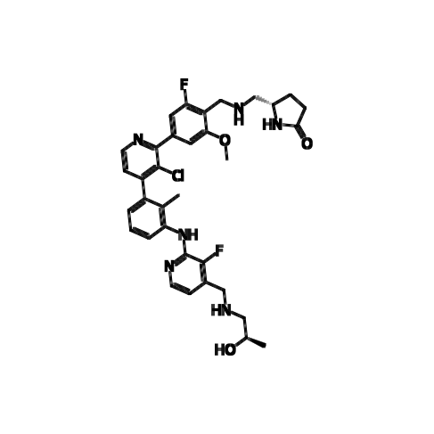 COc1cc(-c2nccc(-c3cccc(Nc4nccc(CNC[C@@H](C)O)c4F)c3C)c2Cl)cc(F)c1CNC[C@@H]1CCC(=O)N1